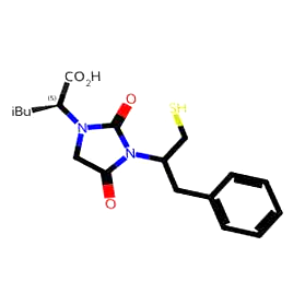 CCC(C)[C@@H](C(=O)O)N1CC(=O)N(C(CS)Cc2ccccc2)C1=O